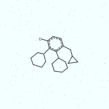 Clc1ccc(CC2CC2)c(C2CCCCC2)c1C1CCCCC1